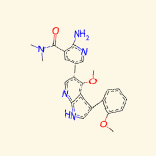 COc1ccccc1-c1c[nH]c2ncc(-c3cnc(N)c(C(=O)N(C)C)c3)c(OC)c12